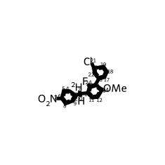 [2H]C([2H])(c1ccc([N+](=O)[O-])cc1)c1ccc(OC)c(-c2cccc(Cl)c2)c1F